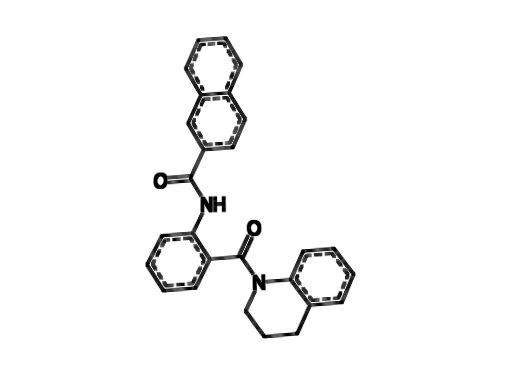 O=C(Nc1ccccc1C(=O)N1CCCc2ccccc21)c1ccc2ccccc2c1